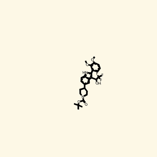 COc1cccc(-c2[nH]c3ccc(C4CCN(C(=O)OC(C)(C)C)CC4)cc3c2C(O)C(F)(F)F)c1OC